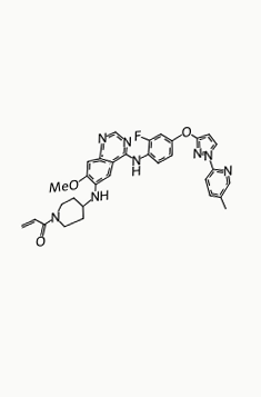 C=CC(=O)N1CCC(Nc2cc3c(Nc4ccc(Oc5ccn(-c6ccc(C)cn6)n5)cc4F)ncnc3cc2OC)CC1